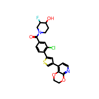 O=C(c1ccc(-c2cc(-c3ccnc4c3OCCO4)cs2)c(Cl)c1)N1CCC(O)C(F)C1